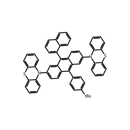 CC(C)(C)c1ccc(-c2c3cc(N4c5ccccc5Sc5ccccc54)ccc3c(-c3cccc4ccccc34)c3cc(N4c5ccccc5Sc5ccccc54)ccc23)cc1